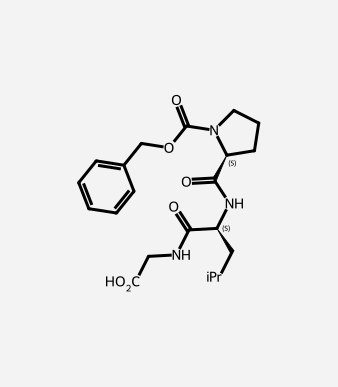 CC(C)C[C@H](NC(=O)[C@@H]1CCCN1C(=O)OCc1ccccc1)C(=O)NCC(=O)O